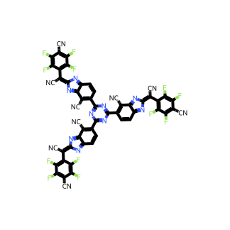 N#C/C(=C1/N=c2ccc(-c3nc(-c4ccc5c(c4C#N)=N/C(=C(\C#N)c4c(F)c(F)c(C#N)c(F)c4F)N=5)nc(-c4ccc5c(c4C#N)=N/C(=C(\C#N)c4c(F)c(F)c(C#N)c(F)c4F)N=5)n3)c(C#N)c2=N1)c1c(F)c(F)c(C#N)c(F)c1F